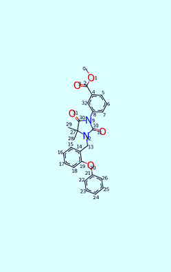 COC(=O)c1cccc(N2C(=O)N(Cc3ccccc3Oc3ccccc3)C(C)(C)C2=O)c1